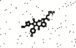 CC(C)(C)c1cc(N2C(=O)C(O)=C(C(=O)c3cccc(NC(=O)C=CC(=O)O)c3)C2c2ccc(Cl)cc2)no1